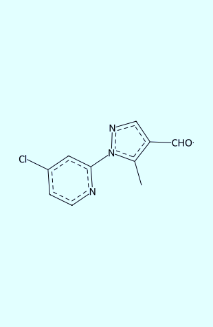 Cc1c([C]=O)cnn1-c1cc(Cl)ccn1